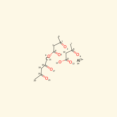 CC(=O)CC(=O)[O-].CC(=O)CC(=O)[O-].[Al+3].[CH2-]C(=O)CC(C)=O